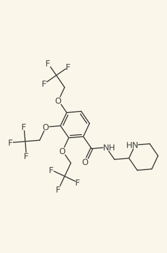 O=C(NCC1CCCCN1)c1ccc(OCC(F)(F)F)c(OCC(F)(F)F)c1OCC(F)(F)F